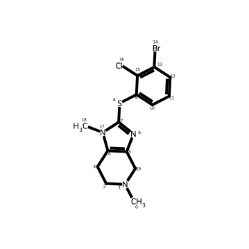 CN1CCc2c(nc(Sc3cccc(Br)c3Cl)n2C)C1